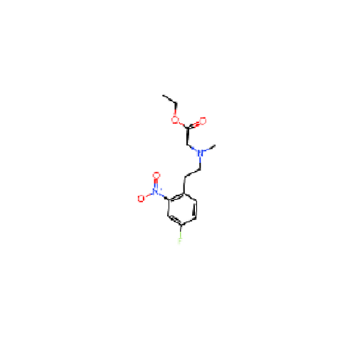 CCOC(=O)CN(C)CCc1ccc(F)cc1[N+](=O)[O-]